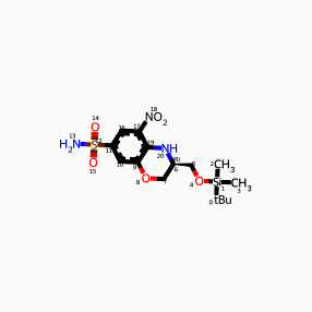 CC(C)(C)[Si](C)(C)OC[C@H]1COc2cc(S(N)(=O)=O)cc([N+](=O)[O-])c2N1